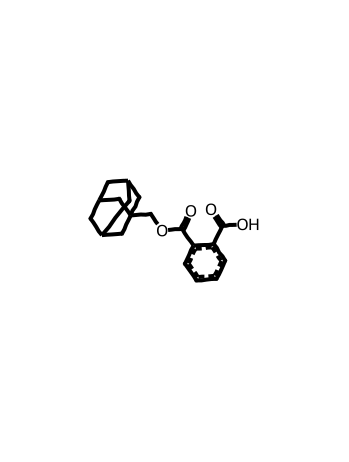 O=C(O)c1ccccc1C(=O)OCC12CC3CC(CC(C3)C1)C2